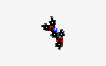 Cc1ccc(OP(=O)(NCc2ccc(CNP(=O)(Oc3ccc(C)cc3)Oc3ccc(C)cc3)cc2)Oc2ccc(C)cc2)cc1